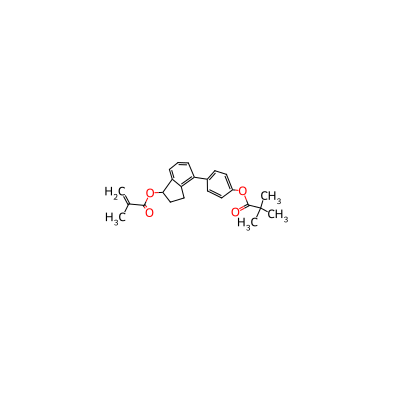 C=C(C)C(=O)OC1CCc2c(-c3ccc(OC(=O)C(C)(C)C)cc3)cccc21